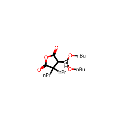 CCCCO[SiH](OCCCC)C1C(=O)OC(=O)C1(CCC)CCC